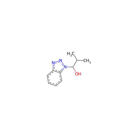 CC(C)C(O)n1nnc2ccccc21